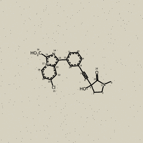 CN1CCC(O)(C#Cc2cccc(-c3nc(C(=O)O)n4ccc(Cl)cc34)c2)C1=O